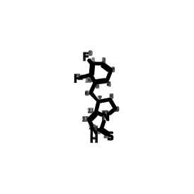 Fc1cccc(C[C@H]2CCn3c2c[nH]c3=S)c1F